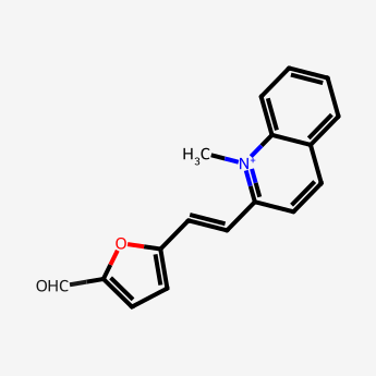 C[n+]1c(C=Cc2ccc(C=O)o2)ccc2ccccc21